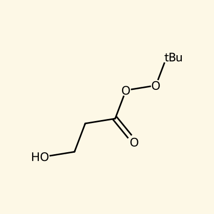 CC(C)(C)OOC(=O)CCO